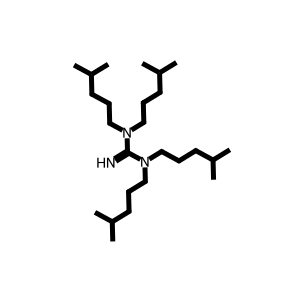 CC(C)CCCN(CCCC(C)C)C(=N)N(CCCC(C)C)CCCC(C)C